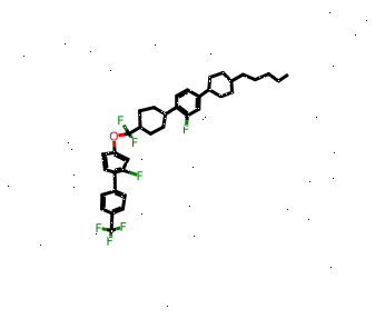 CCCCCC1CCC(c2ccc(C3CCC(C(F)(F)Oc4ccc(-c5ccc(C(F)(F)F)cc5)c(F)c4)CC3)c(F)c2)CC1